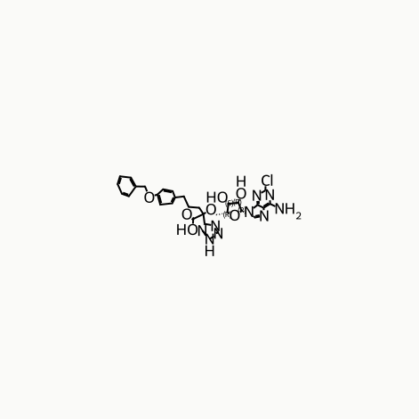 Nc1nc(Cl)nc2c1ncn2[C@@H]1O[C@H](COC(CCCc2ccc(OCc3ccccc3)cc2)(C(=O)O)c2nn[nH]n2)[C@@H](O)[C@H]1O